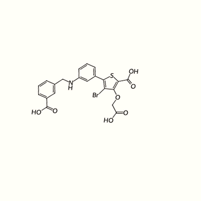 O=C(O)COc1c(C(=O)O)sc(-c2cccc(NCc3cccc(C(=O)O)c3)c2)c1Br